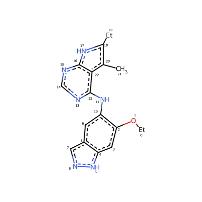 CCOc1cc2[nH]ncc2cc1Nc1ncnc2[nH]c(CC)c(C)c12